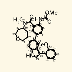 COC(=O)Nc1ccc(-c2cnc3[nH]cc(-c4ccccc4OC)c3c2)cc1C(=O)N(C)C1CCCOCC1